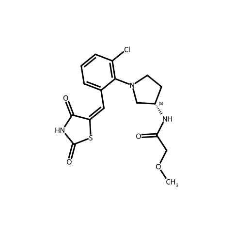 COCC(=O)N[C@H]1CCN(c2c(Cl)cccc2C=C2SC(=O)NC2=O)C1